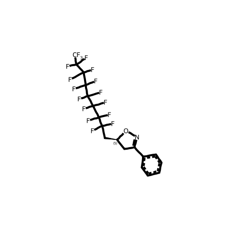 FC(F)(F)C(F)(F)C(F)(F)C(F)(F)C(F)(F)C(F)(F)C(F)(F)C(F)(F)C[C@@H]1CC(c2ccccc2)=NO1